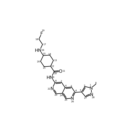 Cn1cc(-c2cc3cc(NC(=O)C4CCC(NCCF)CC4)ncc3cn2)cn1